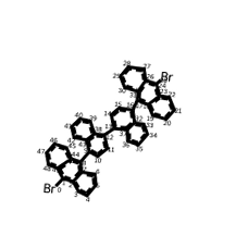 Brc1c2ccccc2c(-c2ccc(-c3ccc(-c4c5ccccc5c(Br)c5ccccc45)c4ccccc34)c3ccccc23)c2ccccc12